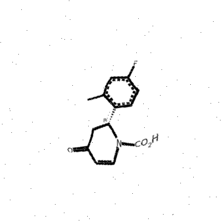 Cc1cc(F)ccc1[C@H]1CC(=O)C=CN1C(=O)O